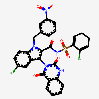 O=C(NS(=O)(=O)C1=CCCC=C1Br)c1c(-n2c(=O)[nH]c3ccccc3c2=O)c2cc(Br)ccc2n1Cc1cccc([N+](=O)[O-])c1